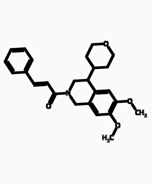 COc1cc2c(cc1OC)C(C1CCOCC1)CN(C(=O)/C=C/c1ccccc1)C2